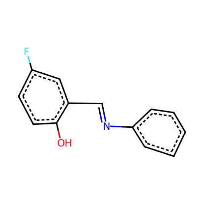 Oc1ccc(F)cc1/C=N/c1ccccc1